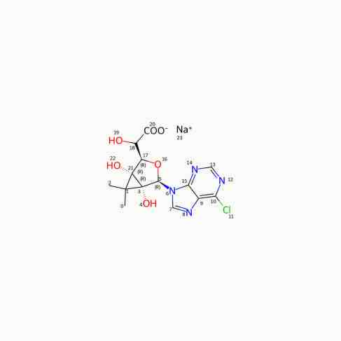 CC1(C)[C@]2(O)[C@H](n3cnc4c(Cl)ncnc43)O[C@H](C(O)C(=O)[O-])[C@]12O.[Na+]